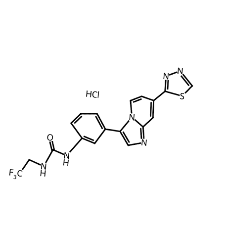 Cl.O=C(NCC(F)(F)F)Nc1cccc(-c2cnc3cc(-c4nncs4)ccn23)c1